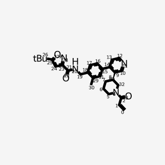 C=CC(=O)N1CCC[C@@H](c2cnccc2-c2ccc(CNC(=O)c3cc(C(C)(C)C)on3)c(C)c2)C1